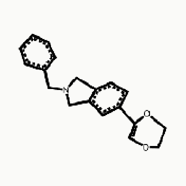 C1=C(c2ccc3c(c2)CN(Cc2ccccc2)C3)OCCO1